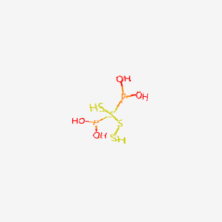 OP(O)S(S)(SS)P(O)O